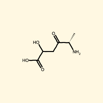 C[C@H](N)C(=O)CC(O)C(=O)O